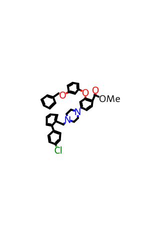 COC(=O)c1ccc(N2CCN(Cc3ccccc3-c3ccc(Cl)cc3)CC2)cc1Oc1cccc(OCc2ccccc2)c1